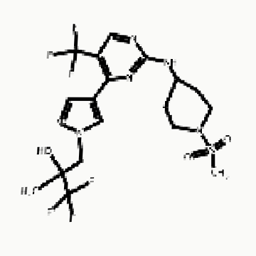 CC(O)(Cn1cc(-c2nc(NC3CCN(S(C)(=O)=O)CC3)ncc2C(F)(F)F)cn1)C(F)(F)F